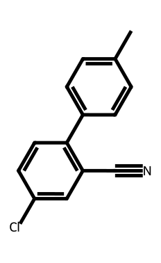 Cc1ccc(-c2ccc(Cl)cc2C#N)cc1